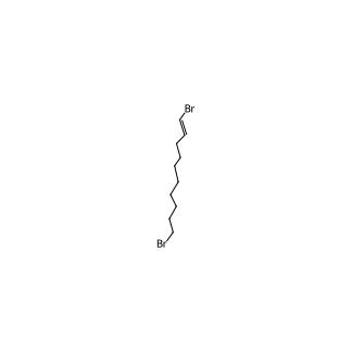 BrC=CCCCCCCCCBr